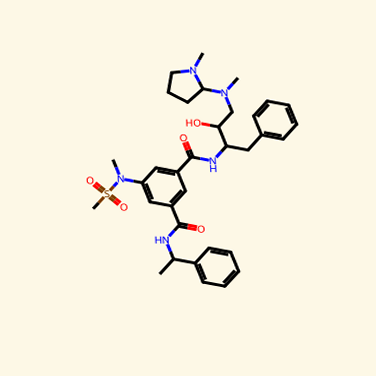 CC(NC(=O)c1cc(C(=O)NC(Cc2ccccc2)C(O)CN(C)C2CCCN2C)cc(N(C)S(C)(=O)=O)c1)c1ccccc1